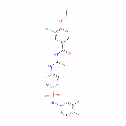 CCOc1ccc(C(=O)NC(=S)Nc2ccc(S(=O)(=O)Nc3ccc(C)c(C)c3)cc2)cc1Br